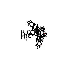 CC(C)(C)Cc1cc2c3c(c1)-n1c4nc5c(nc4n4c6c(c(c14)B3c1c3c(n4c7nc8c(nc7n-2c14)C1CC2CC4CC8CC24C1)C1CCC3CC1)C1CCC6CC1)C1CC2CC3CC5CC32C1